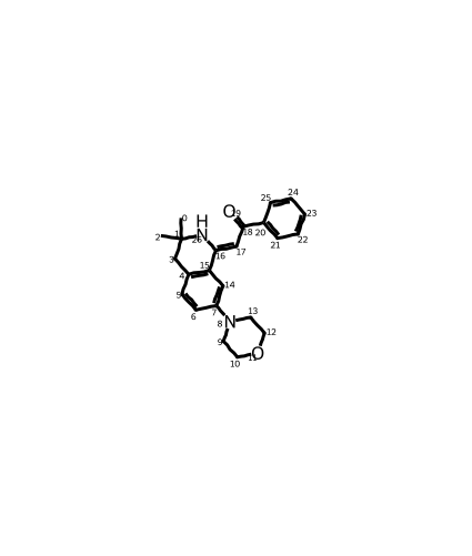 CC1(C)Cc2ccc(N3CCOCC3)cc2/C(=C/C(=O)c2ccccc2)N1